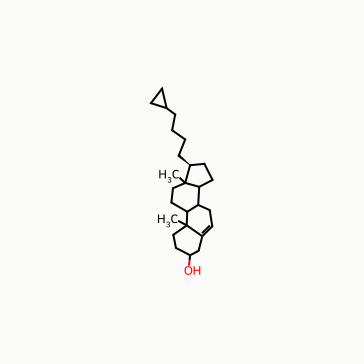 CC12CCC(O)CC1=CCC1C2CCC2(C)C1CC[C@@H]2CCCCC1CC1